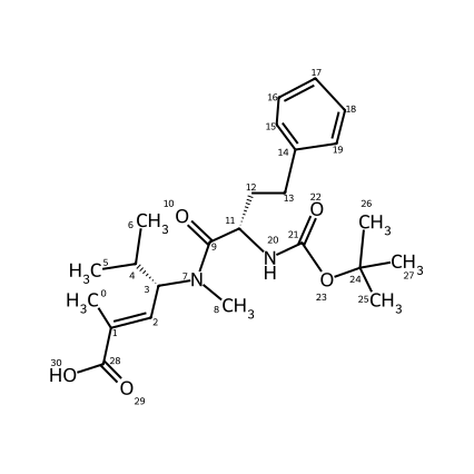 C/C(=C\[C@H](C(C)C)N(C)C(=O)[C@H](CCc1ccccc1)NC(=O)OC(C)(C)C)C(=O)O